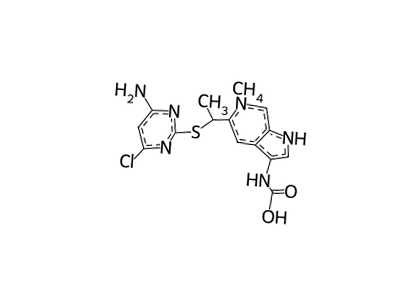 C.CC(Sc1nc(N)cc(Cl)n1)c1cc2c(NC(=O)O)c[nH]c2cn1